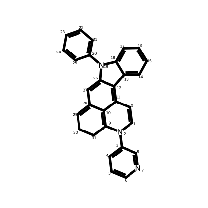 C1=CN(c2cccnc2)C2=c3c1c1c4ccccc4n(-c4ccccc4)c1cc3=CCC2